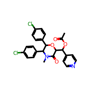 CC(=O)OC(c1ccncc1)C1OC(c2ccc(Cl)cc2)C(c2ccc(Cl)cc2)N(C)C1=O